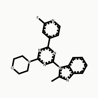 Cc1nc2ccccc2n1-c1nc(-c2ccnc(F)c2)nc(N2CCOCC2)n1